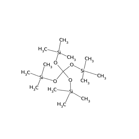 C[Si](C)(C)OC(O[Si](C)(C)C)(O[Si](C)(C)C)O[Si](C)(C)C